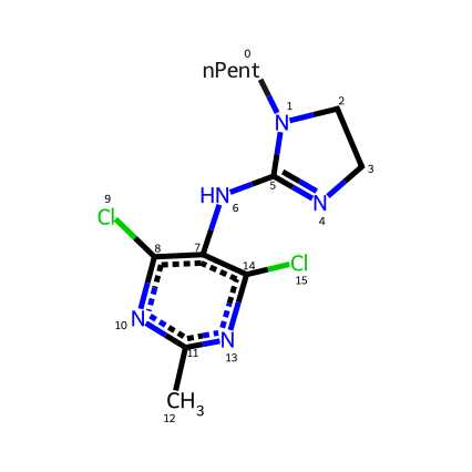 CCCCCN1CCN=C1Nc1c(Cl)nc(C)nc1Cl